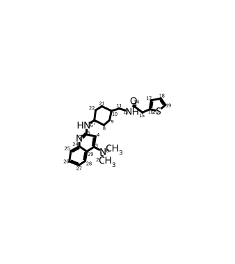 CN(C)c1cc(NC2CCC(CNC(=O)Cc3cccs3)CC2)nc2ccccc12